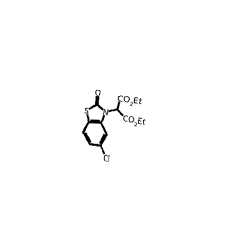 CCOC(=O)C(C(=O)OCC)n1c(=O)sc2ccc(Cl)cc21